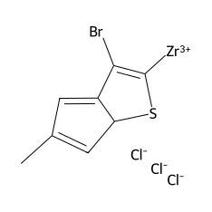 CC1=CC2S[C]([Zr+3])=C(Br)C2=C1.[Cl-].[Cl-].[Cl-]